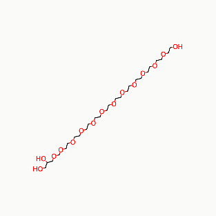 OCCOCCOCCOCCOCCOCCOCCOCCOCCOCCOCCOCOCC(O)CO